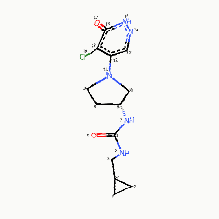 O=C(NCC1CC1)N[C@@H]1CCN(c2cn[nH]c(=O)c2Cl)C1